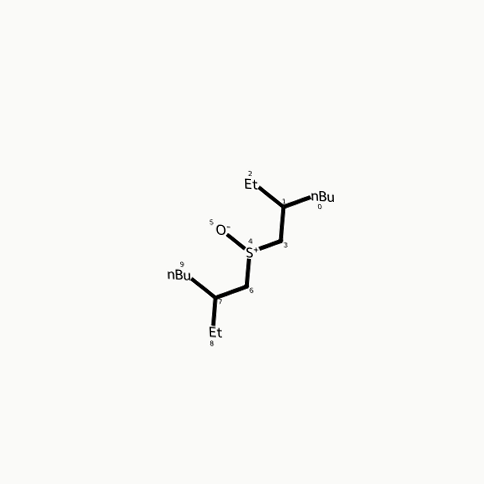 CCCCC(CC)C[S+]([O-])CC(CC)CCCC